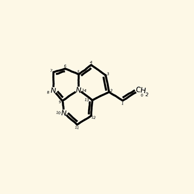 C=CC1=CC=C2C=CN=C3N=CC=C1N23